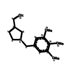 COc1cc(CN2CCC(CO)C2)cc(OC)c1OC